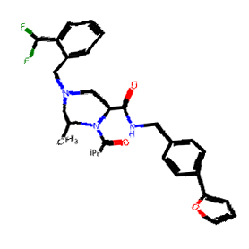 CC(C)C(=O)N1C(C)CN(Cc2ccccc2C(F)F)CC1C(=O)NCc1ccc(-c2ccco2)cc1